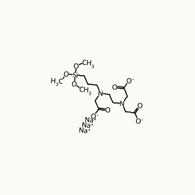 CO[Si](CCCN(CCN(CC(=O)[O-])CC(=O)[O-])CC(=O)[O-])(OC)OC.[Na+].[Na+].[Na+]